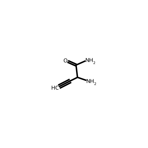 C#CC(N)C(N)=O